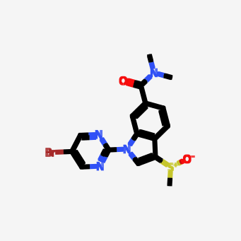 CN(C)C(=O)c1ccc2c([S+](C)[O-])cn(-c3ncc(Br)cn3)c2c1